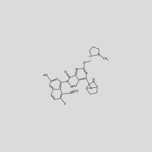 C#Cc1c(F)ccc2cc(O)cc(-n3ncc4c(N5CC6CCC5CN6)nc(OC[C@@H]5CCCN5C)nc4c3=O)c12